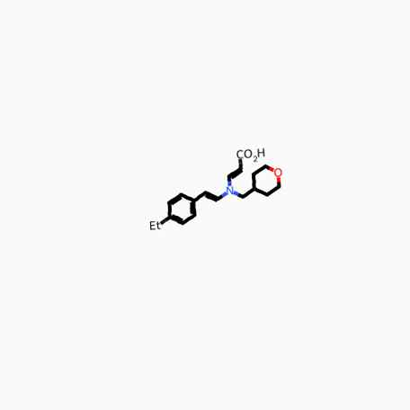 CCc1ccc(/C=C/N(/C=C/C(=O)O)CC2CCOCC2)cc1